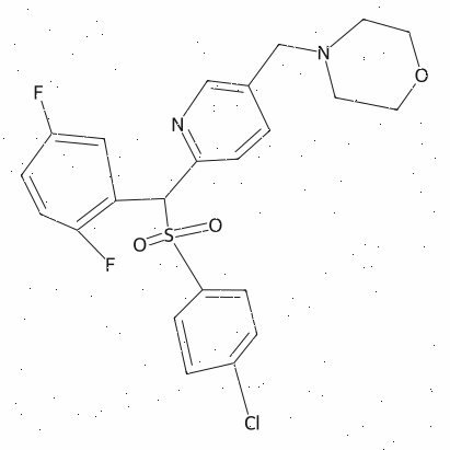 O=S(=O)(c1ccc(Cl)cc1)C(c1ccc(CN2CCOCC2)cn1)c1cc(F)ccc1F